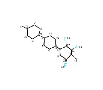 CC1CCC(C2CCC(C3CC(F)C(C)C(F)C3F)CC2)CC1